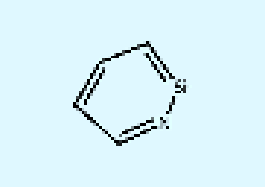 C1=CC=[Si]N=C1